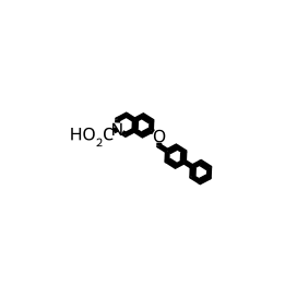 O=C(O)N1CCc2ccc(OCc3ccc(-c4ccccc4)cc3)cc2C1